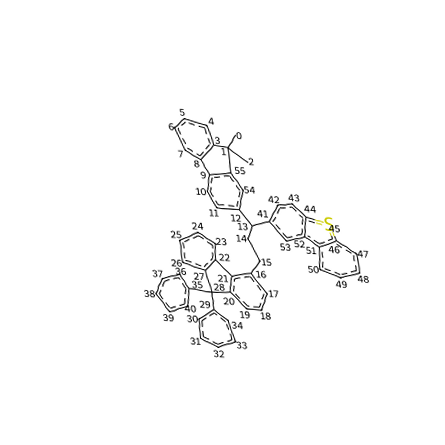 CC1(C)c2ccccc2-c2ccc(C(CCc3cccc4c3-c3ccccc3C4(c3ccccc3)c3ccccc3)c3ccc4sc5ccccc5c4c3)cc21